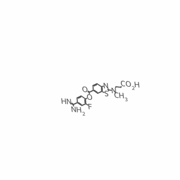 CN(CCC(=O)O)c1nc2ccc(C(=O)Oc3ccc(C(=N)N)cc3F)cc2s1